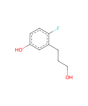 OCCCc1cc(O)ccc1F